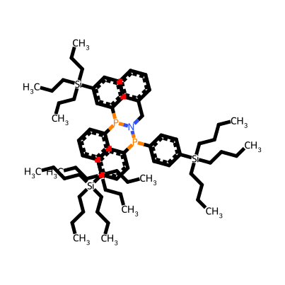 CCCC[Si](CCCC)(CCCC)c1ccc(P(c2ccc([Si](CCCC)(CCCC)CCCC)cc2)N(Cc2ccccc2)P(c2cccc([Si](CCC)(CCC)CCC)c2)c2cccc([Si](CCC)(CCC)CCC)c2)cc1